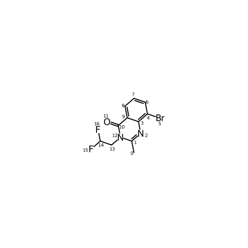 Cc1nc2c(Br)cccc2c(=O)n1CC(F)F